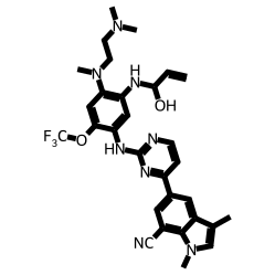 C=CC(O)Nc1cc(Nc2nccc(-c3cc(C#N)c4c(c3)c(C)cn4C)n2)c(OC(F)(F)F)cc1N(C)CCN(C)C